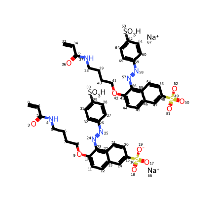 C=CC(=O)NCCCCOc1ccc2cc(S(=O)(=O)[O-])ccc2c1N=Nc1ccc(S(=O)(=O)O)cc1.C=CC(=O)NCCCCOc1ccc2cc(S(=O)(=O)[O-])ccc2c1N=Nc1ccc(S(=O)(=O)O)cc1.[Na+].[Na+]